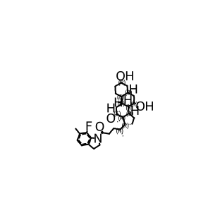 Cc1ccc2c(c1F)N(C(=O)CC[C@@H](C)[C@H]1CC[C@H]3[C@@H]4[C@H](O)C[C@@H]5C[C@H](O)CC[C@]5(C)[C@H]4C[C@H](O)[C@]13C)CC2